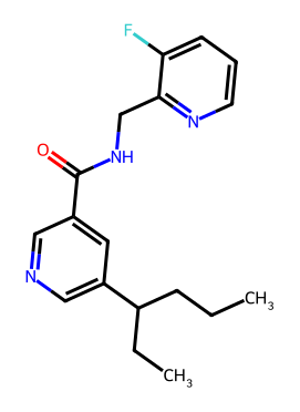 CCCC(CC)c1cncc(C(=O)NCc2ncccc2F)c1